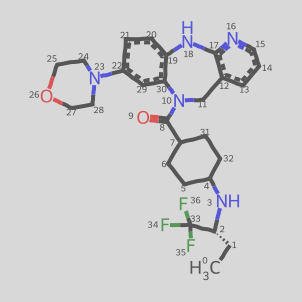 CC[C@@H](NC1CCC(C(=O)N2Cc3cccnc3Nc3ccc(N4CCOCC4)cc32)CC1)C(F)(F)F